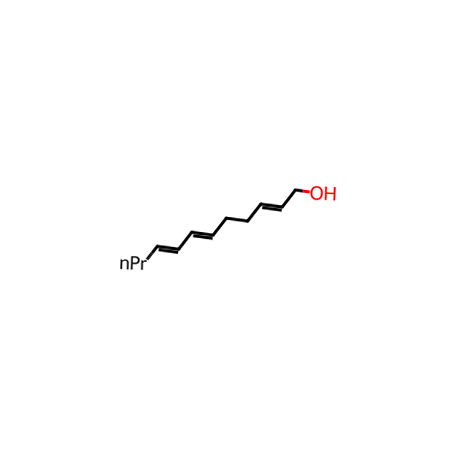 CCCC=CC=CCCC=CCO